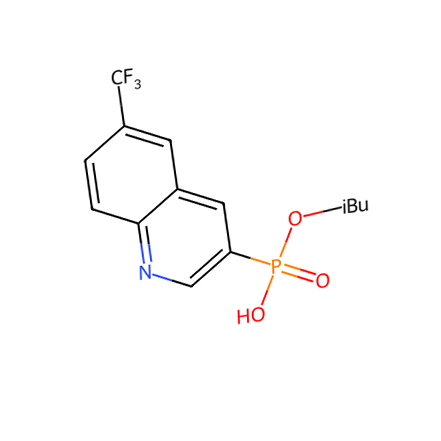 CCC(C)OP(=O)(O)c1cnc2ccc(C(F)(F)F)cc2c1